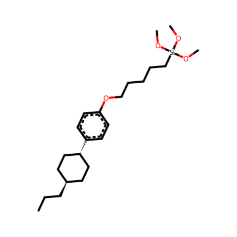 CCC[C@H]1CC[C@H](c2ccc(OCCCCC[Si](OC)(OC)OC)cc2)CC1